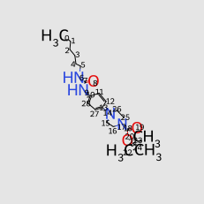 CCCCCCNC(=O)Nc1ccc(N2CCN(C(=O)OC(C)(C)C)CC2)cc1